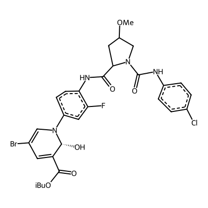 COC1CC(C(=O)Nc2ccc(N3C=C(Br)C=C(C(=O)OCC(C)C)[C@H]3O)cc2F)N(C(=O)Nc2ccc(Cl)cc2)C1